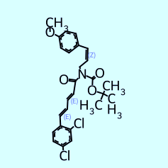 COc1ccc(/C=C\CN(C(=O)/C=C/C=C/c2ccc(Cl)cc2Cl)C(=O)OC(C)(C)C)cc1